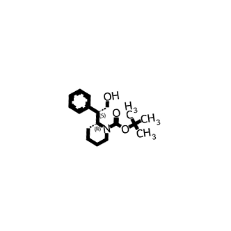 CC(C)(C)OC(=O)N1CCCC[C@@H]1[C@@H](CO)c1ccccc1